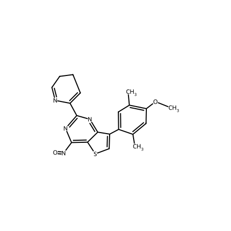 COc1cc(C)c(-c2csc3c(N=O)nc(C4=CCCC=N4)nc23)cc1C